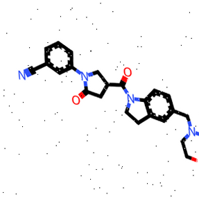 N#Cc1cccc(N2CC(C(=O)N3CCc4cc(CN5CCOCC5)ccc43)CC2=O)c1